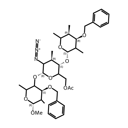 CO[C@@H]1OC(C)C(O[C@H]2OC(COC(C)=O)[C@@H](O[C@@H]3OC(C)[C@@H](C)[C@@H](OCc4ccccc4)C3C)[C@H](C)C2N=[N+]=[N-])[C@@H](OCc2ccccc2)C1C